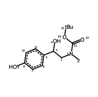 CN(CC(O)c1ccc(O)cc1)C(=O)OC(C)(C)C